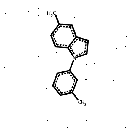 Cc1cccc(-n2ccc3cc(C)ccc32)c1